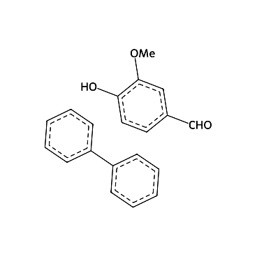 COc1cc(C=O)ccc1O.c1ccc(-c2ccccc2)cc1